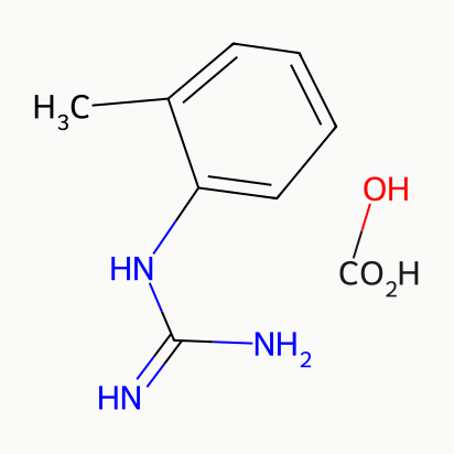 Cc1ccccc1NC(=N)N.O=C(O)O